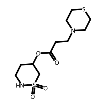 O=C(CCN1CCSCC1)OC1CCNS(=O)(=O)C1